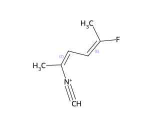 C#[N+]/C(C)=C\C=C(/C)F